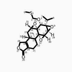 CSCO[C@@H]1[C@@]2(C(C)C)O[C@H]2[C@@H]2O[C@]23[C@]12O[C@H]2C[C@H]1C2=C(CC[C@@]13C)C(=O)OC2